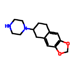 c1c2c(cc3c1OCO3)CC(N1CCNCC1)CC2